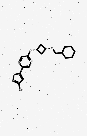 Oc1cc(-c2cnc(O[C@H]3C[C@@H](OCC4CCCCC4)C3)cn2)on1